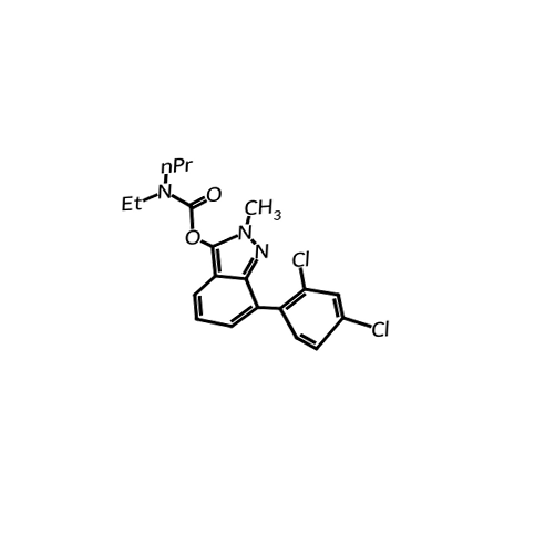 CCCN(CC)C(=O)Oc1c2cccc(-c3ccc(Cl)cc3Cl)c2nn1C